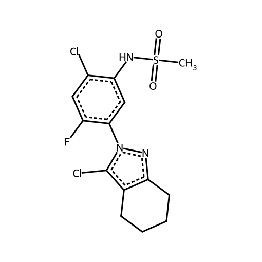 CS(=O)(=O)Nc1cc(-n2nc3c(c2Cl)CCCC3)c(F)cc1Cl